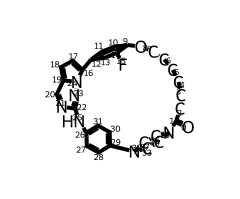 O=C1CCCCCCOc2ccc(cc2F)-c2ccc3cnc(nn23)Nc2ccc(cc2)N2CCN1CC2